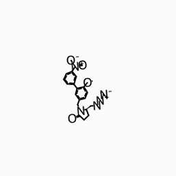 COc1ccc(CN2C(=O)CC[C@@H]2CN=[N+]=[N-])cc1-c1cccc([N+](=O)[O-])c1